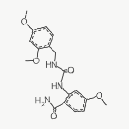 COc1ccc(C(N)=O)c(NC(=O)NCc2ccc(OC)cc2OC)c1